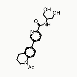 CC(=O)N1CCCc2cc(-c3ccc(C(=O)NC(CO)CO)nc3)ccc21